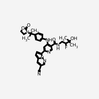 CC(C)(O)C(F)CNC(=O)c1cnc(-c2ccc3cc(C#N)cnn23)cc1Nc1ccc(C(C)(C)N2CCOC2=O)cc1